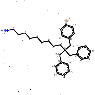 Br.NCCCCCCCCCC(Cc1ccccc1)(Cc1ccccc1)Cc1ccccc1